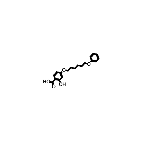 O=C(O)c1ccc(OCCCCCCOc2ccccc2)cc1O